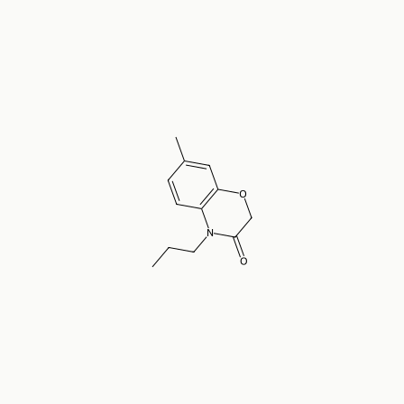 CCCN1C(=O)COc2cc(C)ccc21